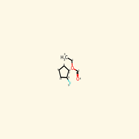 CCOC=O.FC1CCCC1